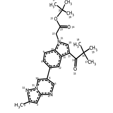 Cc1cc2ncc(-c3ccc4c(c3)c(C(=O)C(C)(C)C)cn4CC(=O)OC(C)(C)C)cn2n1